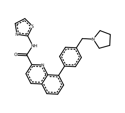 O=C(Nc1nccs1)c1ccc2cccc(-c3ccc(CN4CCCC4)cc3)c2n1